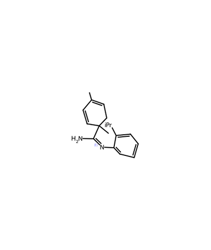 CC1=CCC(C)(/C(N)=N\c2ccccc2C(C)C)C=C1